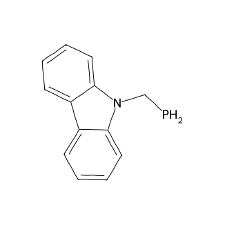 PCn1c2ccccc2c2ccccc21